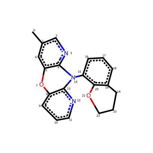 Cc1cnc2c(c1)Oc1cccnc1N2c1cccc2c1OCCC2